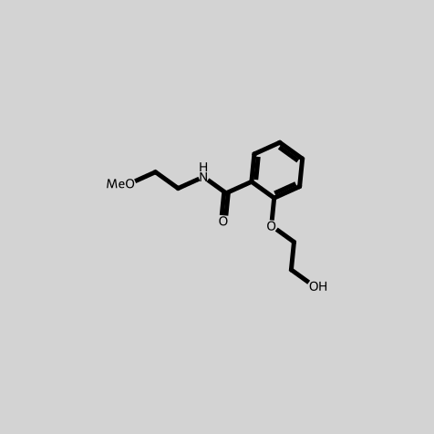 COCCNC(=O)c1ccccc1OCCO